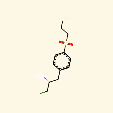 COCCS(=O)(=O)c1ccc(C[C@H](N)CF)cc1